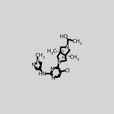 CC(O)N1C[C@]2(C)CN(c3nc(Nc4cnn(C)c4)ncc3Cl)C[C@]2(C)C1